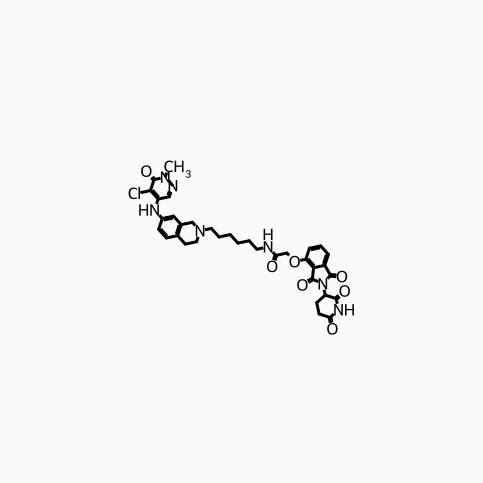 Cn1ncc(Nc2ccc3c(c2)CN(CCCCCCNC(=O)COc2cccc4c2C(=O)N(C2CCC(=O)NC2=O)C4=O)CC3)c(Cl)c1=O